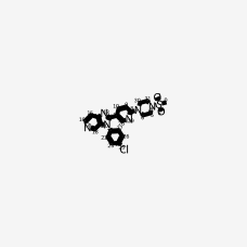 CS(=O)(=O)N1CCN(c2ccc(-c3nc4ccncc4n3-c3ccc(Cl)cc3)cn2)CC1